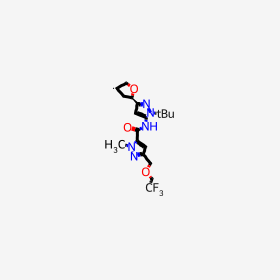 Cn1nc(COCC(F)(F)F)cc1C(=O)Nc1cc([C@H]2C[CH]CO2)nn1C(C)(C)C